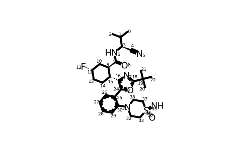 CC(C)[C@@H](C#N)NC(=O)[C@@H]1C[C@@H](F)CC[C@H]1c1nc(C(C)(C)C)oc1-c1ccccc1N1CCS(=N)(=O)CC1